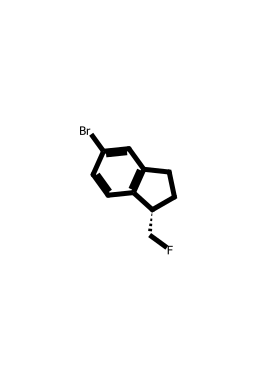 FC[C@H]1CCc2cc(Br)ccc21